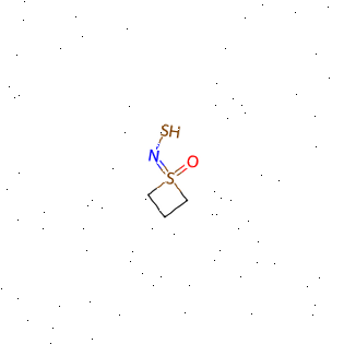 O=S1(=NS)CCC1